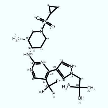 C[C@@H]1CN(S(=O)(=O)C2CC2)CC[C@@H]1Nc1ncc(C(F)(F)F)c(-c2cnn(CC(C)(C)O)c2)n1